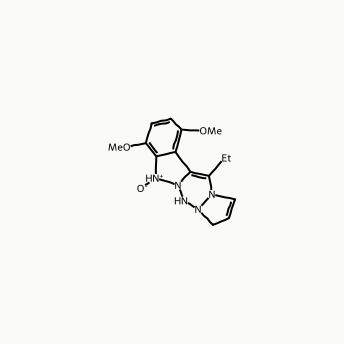 CCc1c2n([nH]n3n1C=CC3)[NH+]([O-])c1c(OC)ccc(OC)c1-2